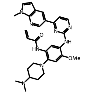 C=CC(=O)Nc1cc(Nc2nccc(-c3cnc4c(ccn4C)c3)n2)c(OC)cc1N1CCC(N(C)C)CC1